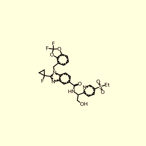 CCS(=O)(=O)c1ccc(C(CO)NC(=O)c2ccc3c(c2)nc(C2(F)CC2)n3Cc2cccc3c2OC(F)(F)O3)nc1